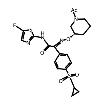 CC(=O)N1CCC[C@@H](O/N=C(/C(=O)Nc2ncc(F)s2)c2ccc(S(=O)(=O)C3CC3)cc2)C1